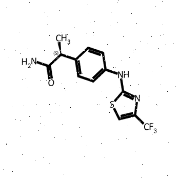 C[C@H](C(N)=O)c1ccc(Nc2nc(C(F)(F)F)cs2)cc1